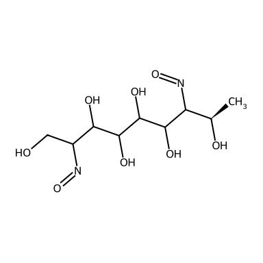 C[C@@H](O)C(N=O)C(O)C(O)C(O)C(O)C(CO)N=O